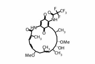 CO[C@H]1C[C@H](C)CC2=C(NC(=O)C(F)(F)C(F)(F)F)C(=O)C=C(NC(=O)/C(C)=C/C=C\[C@H](OC)C/C(C)=C/[C@H](C)[C@H]1O)C2=O